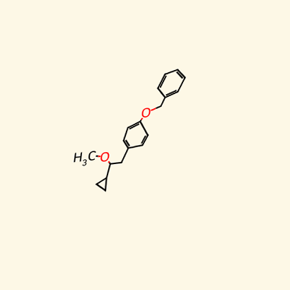 COC(Cc1ccc(OCc2ccccc2)cc1)C1CC1